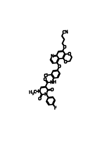 Cn1cc(C(=O)Nc2ccc(Oc3ccnc4cc(OCCCC#N)c5c(c34)OCCO5)cc2Cl)c(=O)n(-c2ccc(F)cc2)c1=O